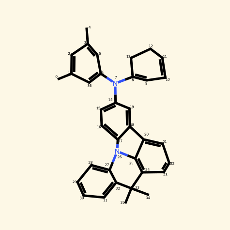 Cc1cc(C)cc(N(C2=CC=CCC2)c2ccc3c(c2)c2cccc4c2n3-c2ccccc2C4(C)C)c1